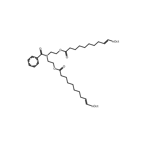 CCCCCCCCC=CCCCCCCCC(=O)OCCN(CCOC(=O)CCCCCCCC=CCCCCCCCC)C(=O)c1ccccc1